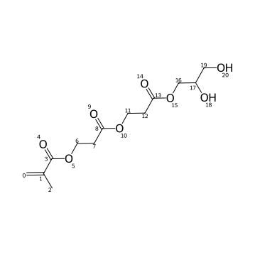 C=C(C)C(=O)OCCC(=O)OCCC(=O)OCC(O)CO